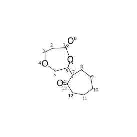 O=C1CCOCC([C]2CCCCCC2=O)O1